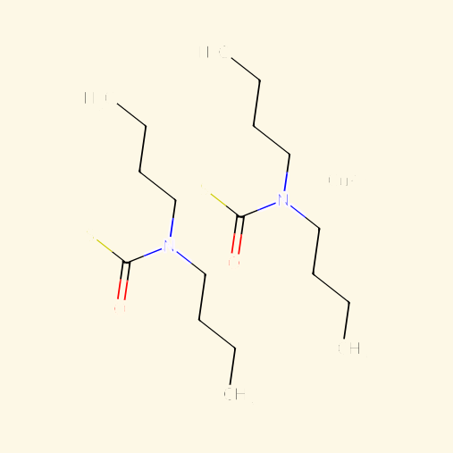 CCCCN(CCCC)C(=O)[S-].CCCCN(CCCC)C(=O)[S-].[Cu+2]